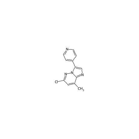 Cc1cc(Cl)nn2c(-c3ccncc3)cnc12